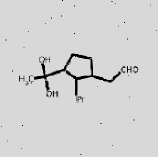 CC(C)C1C(CC=O)CCC1C(C)(O)O